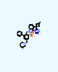 CC1CC(c2cccc(N3Cc4c(-c5ccccc5)cc(CN5CCC[C@H](C)C5)cc4S3(=O)=O)c2)(c2nncn2C)C1